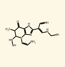 CCCNC1C(C)C(=O)c2[nH]c(/C(C=N)=C/NCC(C)C)nc2N1/C=C\N